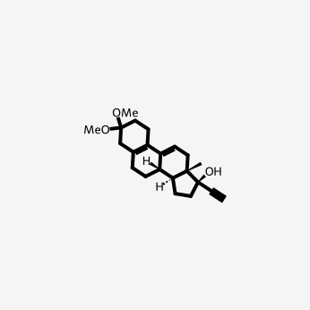 C#C[C@]1(O)CC[C@H]2[C@@H]3CCC4=C(CCC(OC)(OC)C4)C3=CC[C@@]21C